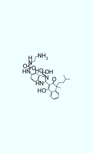 CC(C)CCC1(C)C(=O)C(C2=NS(O)(O)c3cc(NS(=O)(=O)NCCN)ccc3N2)=C(O)c2ccccc21